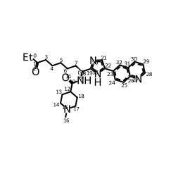 CCC(=O)CCCCC[C@H](NC(=O)C1CCN(C)CC1)c1ncc(-c2ccc3ncccc3c2)[nH]1